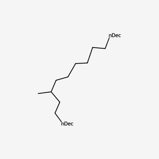 [CH2]CCCCCCCCCCCCCCCC(C)CCCCCCCCCCC[CH2]